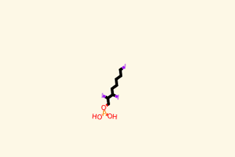 OP(O)OCC(I)C(I)CCCCCI